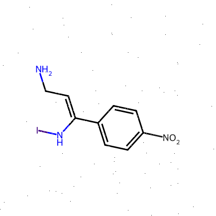 NC/C=C(\NI)c1ccc([N+](=O)[O-])cc1